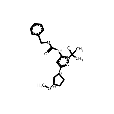 CO[C@@H]1[CH]C[C@H](c2cc(NC(=O)OCc3ccccc3)n(C(C)(C)C)n2)C1